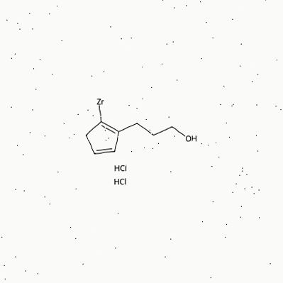 Cl.Cl.OCCCC1=[C]([Zr])CC=C1